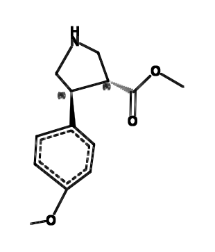 COC(=O)[C@H]1CNC[C@@H]1c1ccc(OC)cc1